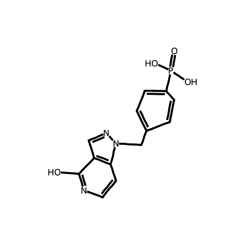 O=P(O)(O)c1ccc(Cn2ncc3c(O)nccc32)cc1